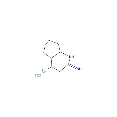 CC1CC(=N)NC2CCCCC12.Cl